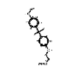 COCCOc1ccc(C(C)(C)c2ccc(OC(C)C)cc2)cc1